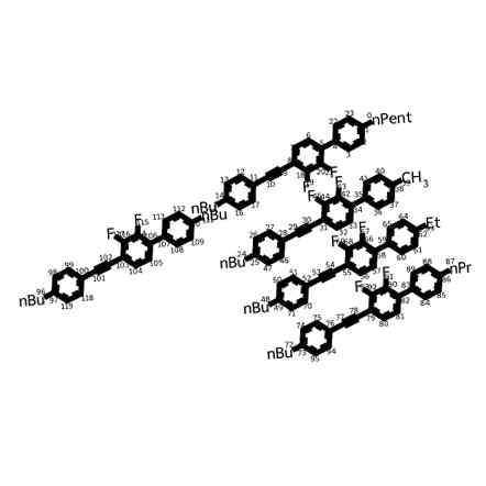 CCCCCc1ccc(-c2ccc(C#Cc3ccc(CCCC)cc3)c(F)c2F)cc1.CCCCc1ccc(C#Cc2ccc(-c3ccc(C)cc3)c(F)c2F)cc1.CCCCc1ccc(C#Cc2ccc(-c3ccc(CC)cc3)c(F)c2F)cc1.CCCCc1ccc(C#Cc2ccc(-c3ccc(CCC)cc3)c(F)c2F)cc1.CCCCc1ccc(C#Cc2ccc(-c3ccc(CCCC)cc3)c(F)c2F)cc1